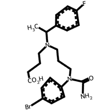 CC(c1ccc(F)cc1)N(CCCC(=O)O)CCCN(C(N)=O)c1ccc(Br)cc1